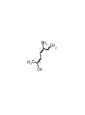 C=C/C(N)=C\C=C(/C)O